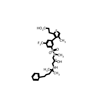 Cc1csc(CCC(=O)O)c1-c1cc(C(F)(F)F)cc(S(=O)(=O)N(C)C[C@@H](O)CNC(C)(C)CCCc2ccccc2)c1